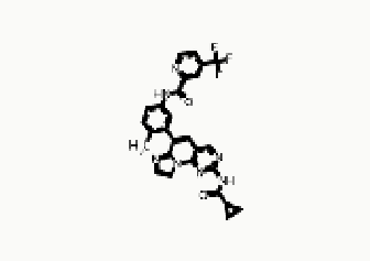 Cc1ccc(NC(=O)c2cc(C(F)(F)F)ccn2)cc1C1=Cc2cnc(NC(=O)C3CC3)nc2N2CCN=C12